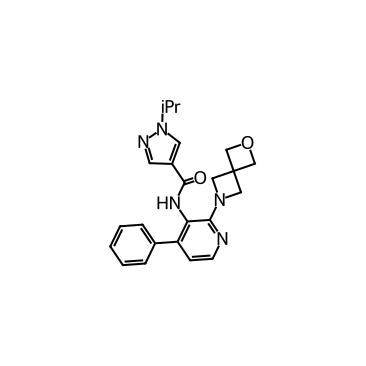 CC(C)n1cc(C(=O)Nc2c(-c3ccccc3)ccnc2N2CC3(COC3)C2)cn1